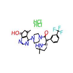 C[C@@H]1C[C@@H](O)c2ncnc(N3CCN(C(=O)[C@@H](c4cccc(C(F)(F)F)c4)[C@@H]4CCC(C)(C)N4)CC3)c21.Cl.Cl